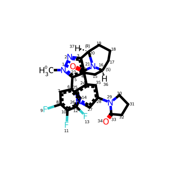 Cn1nc2c(c1-c1cc(F)c(F)c(F)c1)C[C@@H]1CCC[C@H]2N1C(=O)c1cncc(N2CCCC2=O)c1